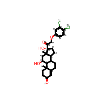 CC12CCC(=O)C=C1CCC1C2[C@@H](O)CC2(C)C1CC[C@]2(O)C(=O)COc1ccc(Cl)c(Cl)c1